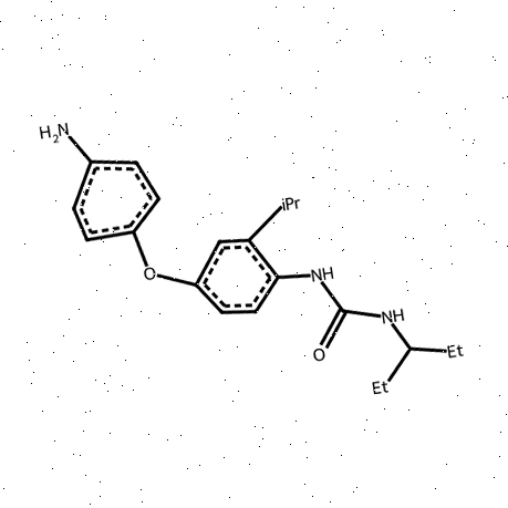 CCC(CC)NC(=O)Nc1ccc(Oc2ccc(N)cc2)cc1C(C)C